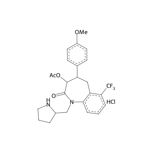 COc1ccc(C2Cc3c(cccc3C(F)(F)F)N(CC3CCCN3)C(=O)C2OC(C)=O)cc1.Cl